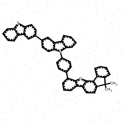 CC1(C)c2ccccc2-c2c1ccc1c2oc2c(-c3ccc(-n4c5ccccc5c5cc(-c6ccc7sc8ccccc8c7c6)ccc54)cc3)cccc21